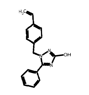 C=Cc1ccc(Cn2nc(O)nc2-c2ccccc2)cc1